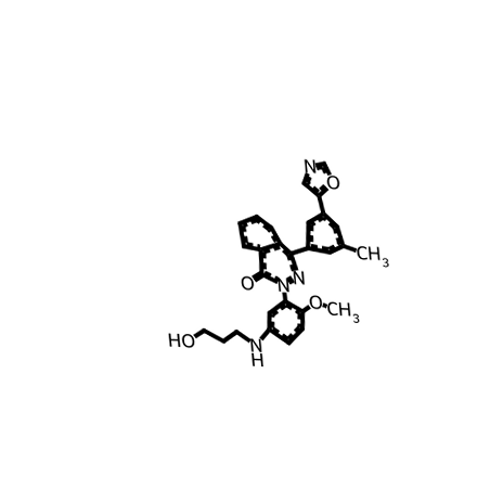 COc1ccc(NCCCO)cc1-n1nc(-c2cc(C)cc(-c3cnco3)c2)c2ccccc2c1=O